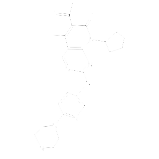 CC(=O)c1c(C)c2cnc(Nc3ccc(N4CCNCC4)nc3)nc2n(C2CCCC2)c1=O